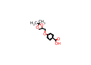 CC1(C)OCC(COc2ccc(C(=O)O)cc2)O1